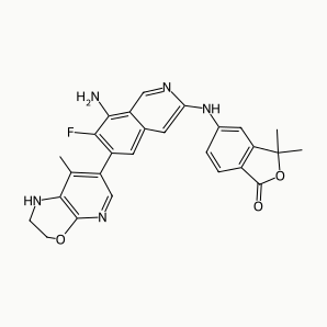 Cc1c(-c2cc3cc(Nc4ccc5c(c4)C(C)(C)OC5=O)ncc3c(N)c2F)cnc2c1NCCO2